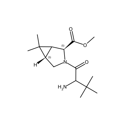 COC(=O)[C@@H]1C2[C@H](CN1C(=O)C(N)C(C)(C)C)C2(C)C